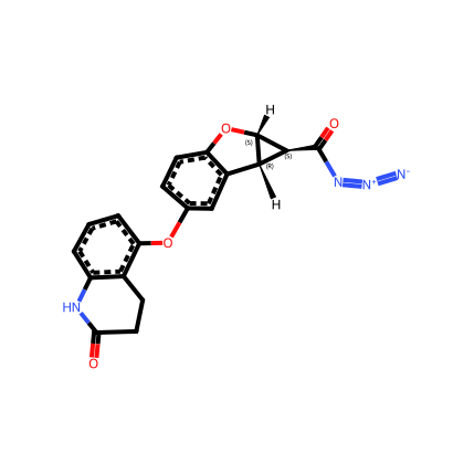 [N-]=[N+]=NC(=O)[C@@H]1[C@H]2Oc3ccc(Oc4cccc5c4CCC(=O)N5)cc3[C@H]21